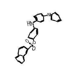 O=S(=O)(Oc1ccc(Nc2ccc(Nc3ccccc3)cc2)cc1)c1ccc2ccccc2c1